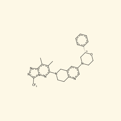 Cc1c(N2CCc3ncc(N4CCO[C@@H](c5ccccc5)C4)cc3C2)nn2c(C(F)(F)F)nnc2c1C